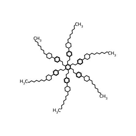 CCCCCCCCC1CCC(c2ccc(CCc3c(CCc4ccc(C5CCC(CCCCCCCC)CC5)cc4)c(CCc4ccc(C5CCC(CCCCCCCC)CC5)cc4)c(CCc4ccc(C5CCC(CCCCCCCC)CC5)cc4)c(CCc4ccc(C5CCC(CCCCCCCC)CC5)cc4)c3CCc3ccc(C4CCC(CCCCCCCC)CC4)cc3)cc2)CC1